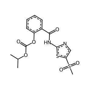 CC(C)OC(=O)Oc1ccccc1C(=O)Nc1ncc(S(C)(=O)=O)s1